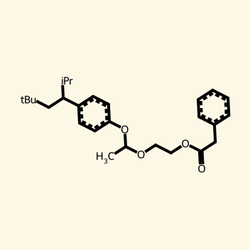 CC(OCCOC(=O)Cc1ccccc1)Oc1ccc(C(CC(C)(C)C)C(C)C)cc1